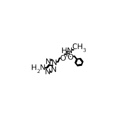 CCNP(COCCn1cnc2c(N)ncnc21)OCc1ccccc1